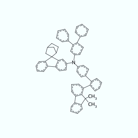 CC1(C)c2ccccc2-c2cccc(-c3ccccc3-c3ccc(N(c4ccc(-c5ccccc5)c(-c5ccccc5)c4)c4ccc5c(c4)C4(CC6CCC4C6)c4ccccc4-5)cc3)c21